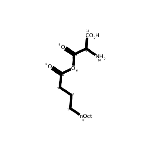 CCCCCCCCCCCC(=O)OC(=O)C(N)C(=O)O